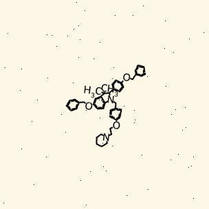 CC1(C)c2cc(OCc3ccccc3)ccc2N(Cc2ccc(OCCN3CCCCC3)cc2)C1c1ccc(OCc2ccccc2)cc1